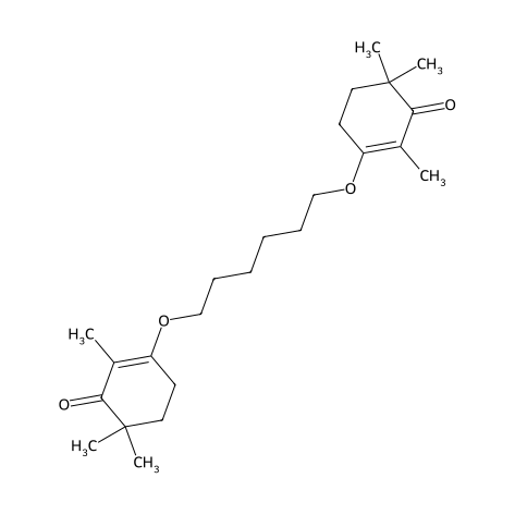 CC1=C(OCCCCCCOC2=C(C)C(=O)C(C)(C)CC2)CCC(C)(C)C1=O